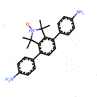 CC1(C)c2c(-c3ccc(N)cc3)ccc(-c3ccc(N)cc3)c2C(C)(C)[NH+]1[O-]